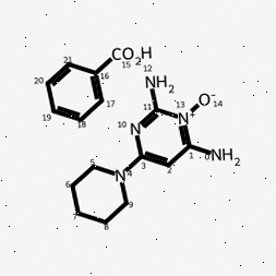 Nc1cc(N2CCCCC2)nc(N)[n+]1[O-].O=C(O)c1ccccc1